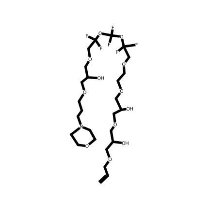 C=CCOCC(O)COCC(O)COCCOCC(F)(F)OC(F)(F)OC(F)(F)COCC(O)COCCCN1CCOCC1